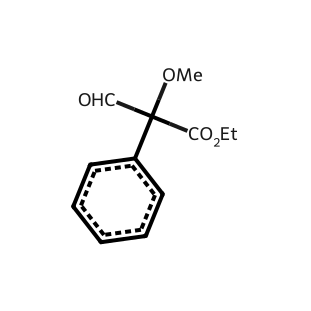 CCOC(=O)C(C=O)(OC)c1ccccc1